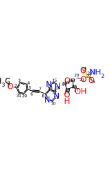 COc1ccc(C#Cc2ncnc3c2ncn3[C@@H]2O[C@H](COS(N)(=O)=O)[C@@H](O)[C@H]2O)cc1